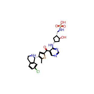 Cc1sc(C(=O)c2cncnc2N[C@@H]2C[C@H](CNS(=O)(=O)O)[C@@H](O)C2)cc1[C@H]1NCCc2ccc(Cl)cc21